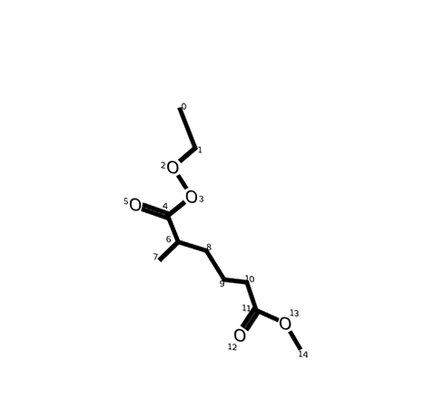 CCOOC(=O)C(C)CCCC(=O)OC